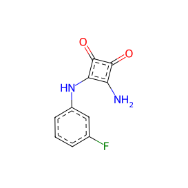 Nc1c(Nc2cccc(F)c2)c(=O)c1=O